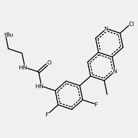 Cc1nc2cc(Cl)ncc2cc1-c1cc(NC(=O)NCCC(C)(C)C)c(F)cc1F